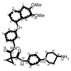 COc1cc2nccc(Oc3cccc(NC(=O)C4(C(=O)Nc5ccc(N6CCC(N)CC6)cc5)CC4)c3)c2cc1OC